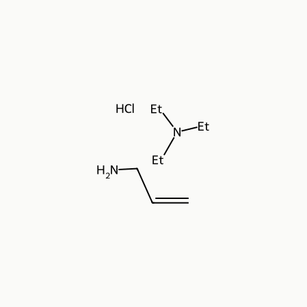 C=CCN.CCN(CC)CC.Cl